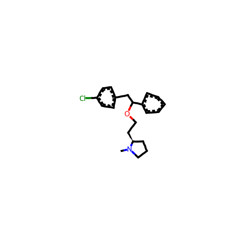 CN1CCC[C@@H]1CCOC(Cc1ccc(Cl)cc1)c1ccccc1